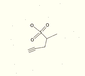 C#CCC(C)S([O])(=O)=O